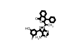 CC(c1oc(=O)c2ccccc2c1-c1ccccc1)n1nc(-c2cc(O)cc(F)c2)c2c(N)ncnc21